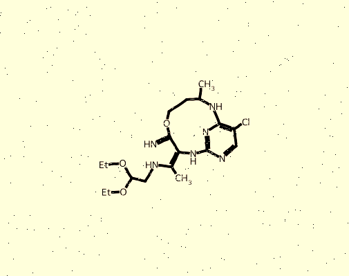 CCOC(CN/C(C)=C1/Nc2ncc(Cl)c(n2)NC(C)CCOC1=N)OCC